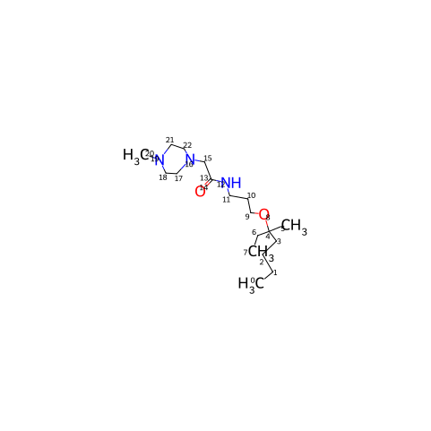 CCCCC(C)(CC)OCCCNC(=O)CN1CCN(C)CC1